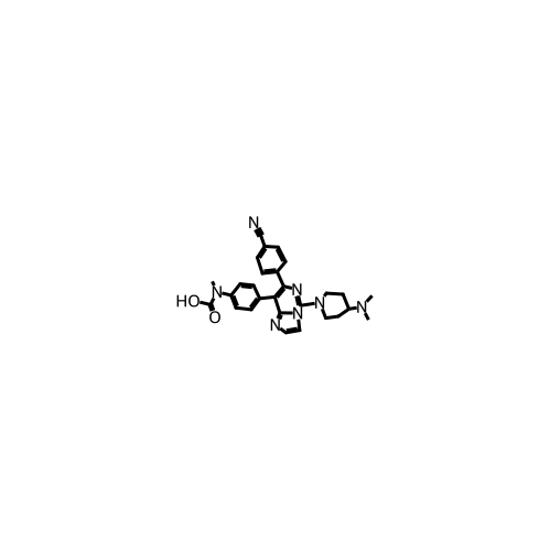 CN(C(=O)O)c1ccc(-c2c(-c3ccc(C#N)cc3)nc(N3CCC(N(C)C)CC3)n3ccnc23)cc1